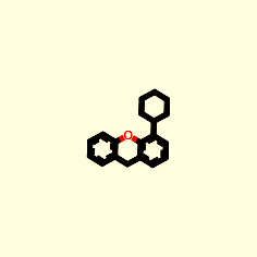 c1ccc2c(c1)Cc1cccc(C3CCCCC3)c1O2